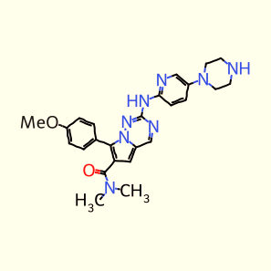 COc1ccc(-c2c(C(=O)N(C)C)cc3cnc(Nc4ccc(N5CCNCC5)cn4)nn23)cc1